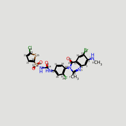 CNc1cc2nc(C)n(-c3ccc(NC(=O)NS(=O)(=O)c4ccc(Cl)s4)cc3F)c(=O)c2cc1Br